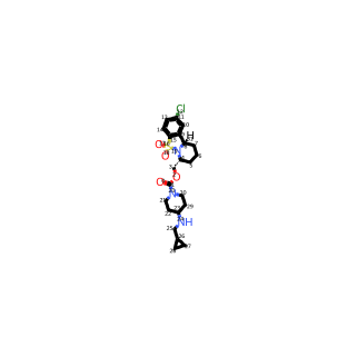 O=C(OC[C@H]1CCC[C@H]2c3cc(Cl)ccc3S(=O)(=O)N12)N1CCC(NCC2CC2)CC1